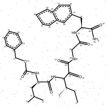 CC[C@H](C)C(NC(=O)[C@@H](CC(C)C)NC(=O)OCc1ccccc1)C(=O)C(=O)NCC(=O)N[C@@H](Cc1ccc2ccccc2c1)C(N)=O